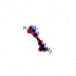 CN[C@@H](C)C(=O)NC(C(=O)N1CCC[C@H]1C(=O)N[C@@H]1CCCc2c(OCCCCCOc3cccc4c3CCC[C@H]4NC(=O)[C@@H]3CCCN3C(=O)[C@@H](NC(=O)[C@H](C)NC)C3CCOCC3)cccc21)C1CCOCC1